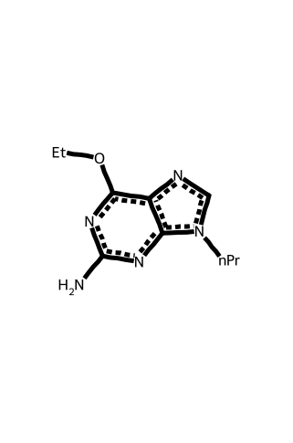 CCCn1cnc2c(OCC)nc(N)nc21